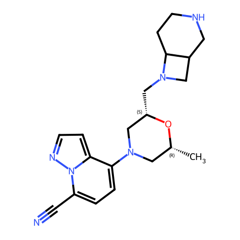 C[C@@H]1CN(c2ccc(C#N)n3nccc23)C[C@H](CN2CC3CNCCC32)O1